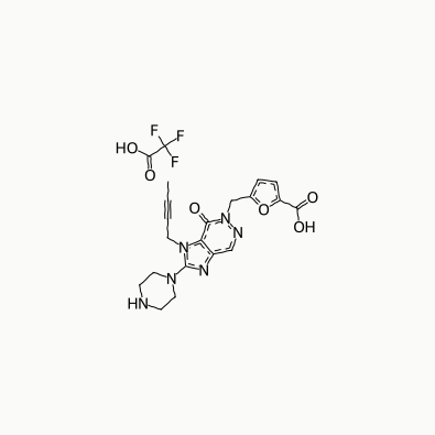 CC#CCn1c(N2CCNCC2)nc2cnn(Cc3ccc(C(=O)O)o3)c(=O)c21.O=C(O)C(F)(F)F